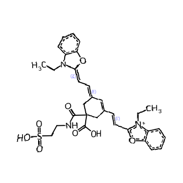 CCN1/C(=C/C=C2C=C(/C=C/c3oc4ccccc4[n+]3CC)CC(C(=O)O)(C(=O)NCCS(=O)(=O)O)C/2)Oc2ccccc21